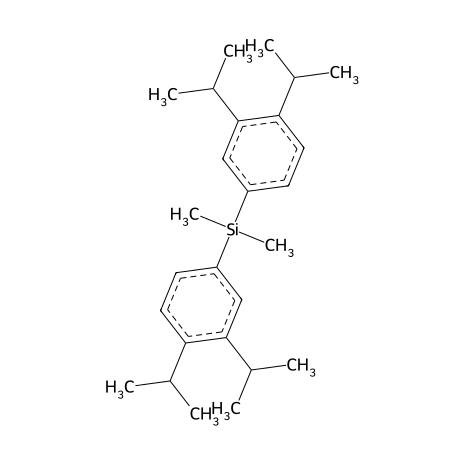 CC(C)c1ccc([Si](C)(C)c2ccc(C(C)C)c(C(C)C)c2)cc1C(C)C